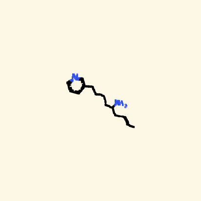 CC=CCC(N)CCCCc1cccnc1